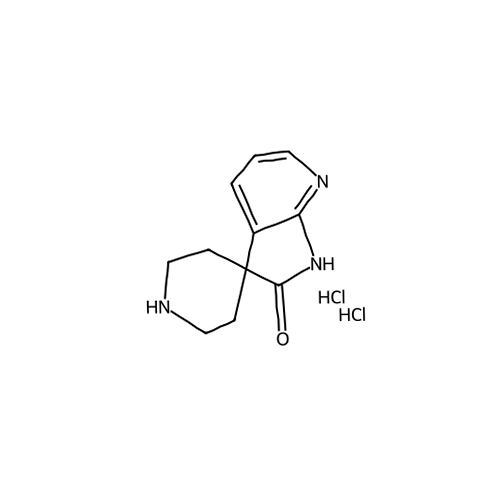 Cl.Cl.O=C1Nc2ncccc2C12CCNCC2